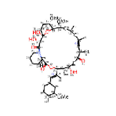 CC[C@@H]1/C=C(\C)C[C@H](C)C[C@H](OC)[C@H]2O[C@](O)([C@H](C)C[C@@H]2OC)[C@@H](O)C(=O)N2CCCC[C@H]2C(=O)O[C@H](/C(C)=C/C2CC[C@@H](C)[C@H](OC)C2)[C@@H](C)[C@@H](O)CC1=O